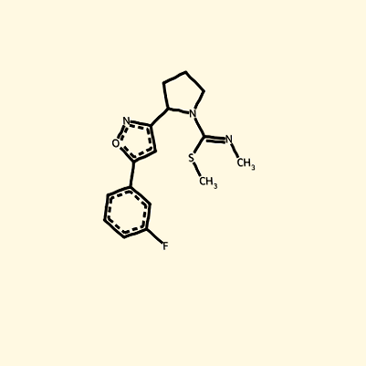 CN=C(SC)N1CCCC1c1cc(-c2cccc(F)c2)on1